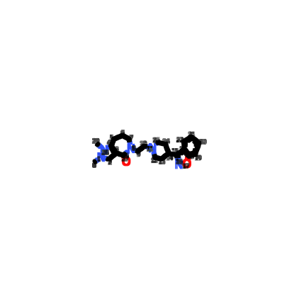 CN1CC2=C(CCCN(CCN3CCC(c4noc5ccccc45)CC3)C2=O)N1C